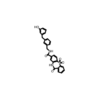 O=C(NCc1cccc(Cc2cccc(O)c2)c1)c1ccc2c(c1)NC(=O)c1ccccc1S2(=O)=O